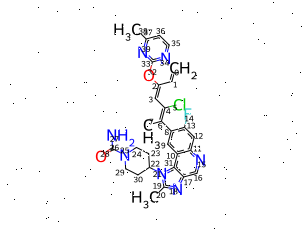 C=C/C(=C\C(Cl)=C(/C)c1cc2c(cc1F)ncc1nc(C)n(C3CCN(C(N)=O)CC3)c12)Oc1nccc(C)n1